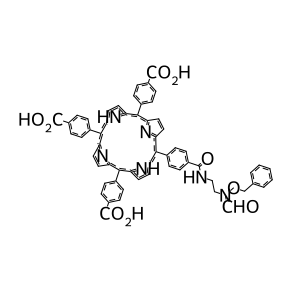 O=CN(CCNC(=O)c1ccc(-c2c3nc(c(-c4ccc(C(=O)O)cc4)c4ccc([nH]4)c(-c4ccc(C(=O)O)cc4)c4nc(c(-c5ccc(C(=O)O)cc5)c5ccc2[nH]5)C=C4)C=C3)cc1)OCc1ccccc1